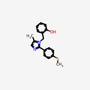 CSc1ccc(-c2ncc(C)n2Cc2ccccc2O)cc1